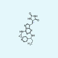 CCC(Nc1nc(NC2CC2)n2ncc(/C=C3\NC(=O)NC3=O)c2n1)c1ccncc1